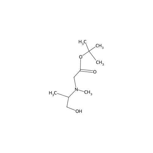 CC(CO)N(C)CC(=O)OC(C)(C)C